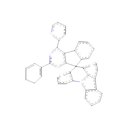 C1=CC(c2nc(-c3ccccn3)c3c(n2)C2(c4ccccc4-3)c3ccccc3-n3c4ccccc4c4cccc2c43)=CCC1